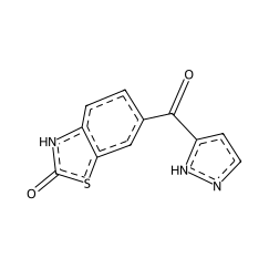 O=C(c1ccc2[nH]c(=O)sc2c1)c1ccn[nH]1